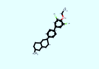 CC1CCC2CC(c3ccc(-c4cc(F)c(OCC(F)(F)F)c(F)c4)cc3)CCC2C1